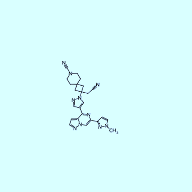 Cn1ccc(-c2cn3nccc3c(-c3cnn(C4(CC#N)CC5(CCN(C#N)CC5)C4)c3)n2)n1